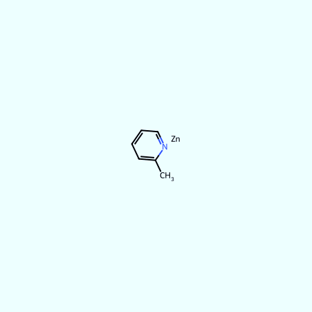 Cc1ccccn1.[Zn]